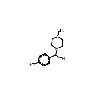 CC(c1c[c]c(O)cc1)N1CCN(C)CC1